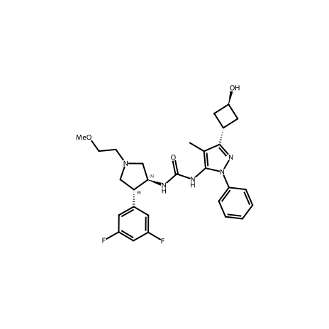 COCCN1C[C@@H](NC(=O)Nc2c(C)c([C@H]3C[C@H](O)C3)nn2-c2ccccc2)[C@H](c2cc(F)cc(F)c2)C1